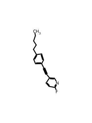 CCCCCc1ccc(C#Cc2ccc(F)nc2)cc1